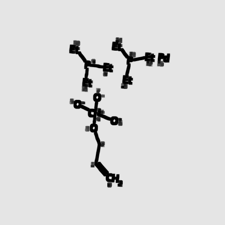 C=CCO[Cl+3]([O-])([O-])[O-].CCP(CC)CC.CCP(CC)CC.[Pd]